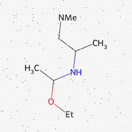 CCOC(C)NC(C)CNC